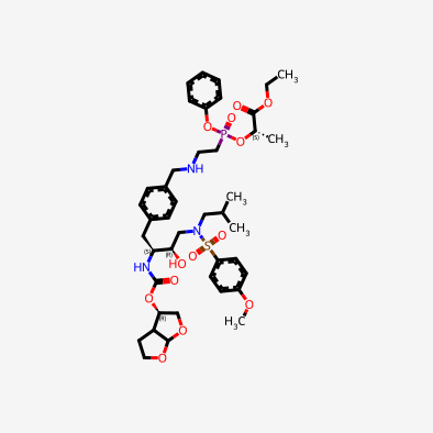 CCOC(=O)[C@H](C)OP(=O)(CCNCc1ccc(C[C@H](NC(=O)O[C@H]2COC3OCCC32)[C@H](O)CN(CC(C)C)S(=O)(=O)c2ccc(OC)cc2)cc1)Oc1ccccc1